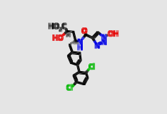 O=C(N[C@H](Cc1ccc(-c2cc(Cl)ccc2Cl)cc1)C[C@@H](O)C(=O)O)c1cn(O)nn1